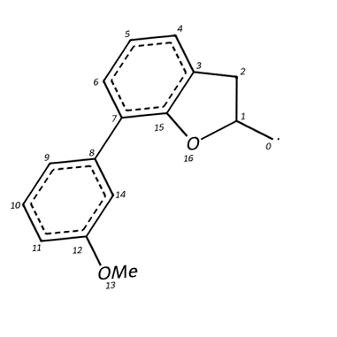 [CH2]C1Cc2cccc(-c3cccc(OC)c3)c2O1